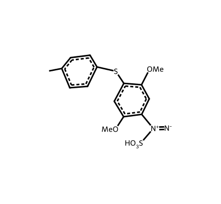 COc1cc([N+](=[N-])S(=O)(=O)O)c(OC)cc1Sc1ccc(C)cc1